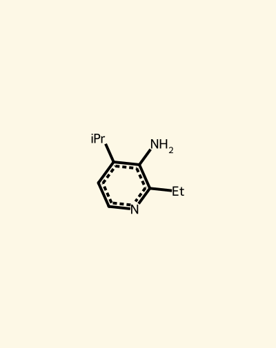 CCc1nccc(C(C)C)c1N